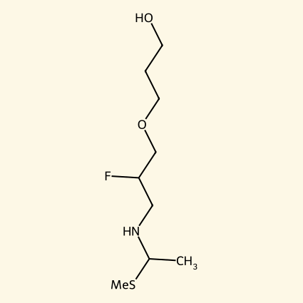 CSC(C)NCC(F)COCCCO